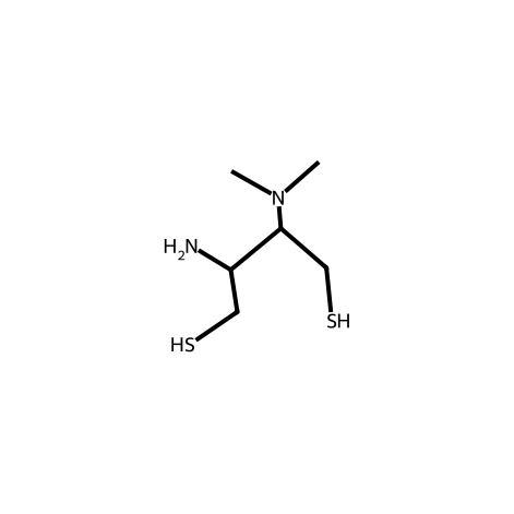 CN(C)C(CS)C(N)CS